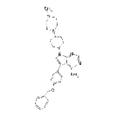 CN1CCN(C2CCC(n3cc(-c4ccc(OCc5ccccc5)cc4)c4c(N)ncnc43)CC2)CC1